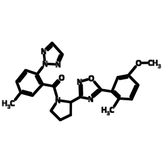 COc1ccc(C)c(-c2nc(C3CCCN3C(=O)c3cc(C)ccc3-n3nccn3)no2)c1